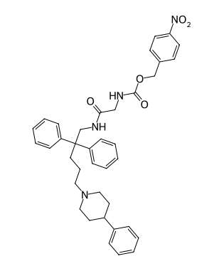 O=C(CNC(=O)OCc1ccc([N+](=O)[O-])cc1)NCC(CCCN1CCC(c2ccccc2)CC1)(c1ccccc1)c1ccccc1